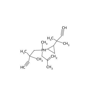 C#CC(C)(C)C[PH](C)(CC(=C)C)C1CC1C(C)(C)C#C